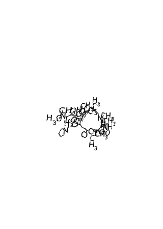 CC[C@H]1OC(=O)CC(=O)[C@H](C)[C@@H](O[C@@H]2OC(CN3CCCC3)CC(N(C)C)C2O)[C@](C)(OC)C[C@@H](C)CN(C)[C@H](C)[C@H]2NC(=O)O[C@@]21C